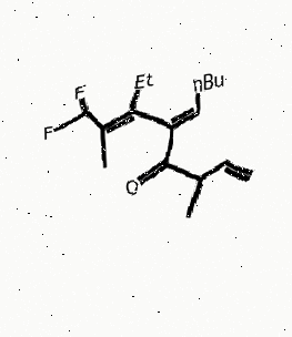 C=CC(C)C(=O)C(=C/CCCC)/C(CC)=C(\C)C(F)F